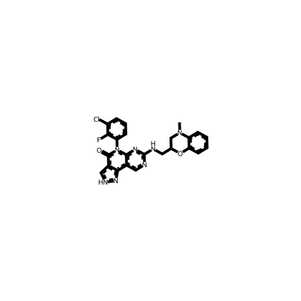 CN1CC(CNc2ncc3c4n[nH]cc4c(=O)n(-c4cccc(Cl)c4F)c3n2)Oc2ccccc21